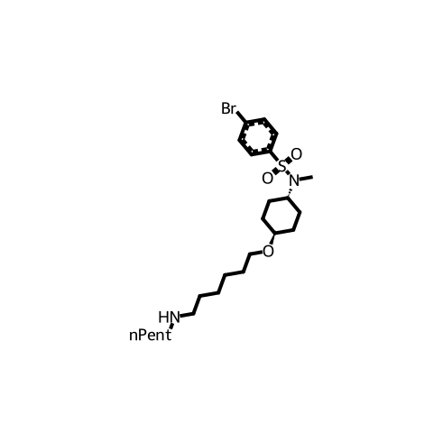 CCCCCNCCCCCCO[C@H]1CC[C@H](N(C)S(=O)(=O)c2ccc(Br)cc2)CC1